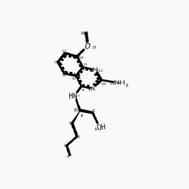 CCCC[C@H](CO)Nc1nc(N)nc2c(OC)cccc12